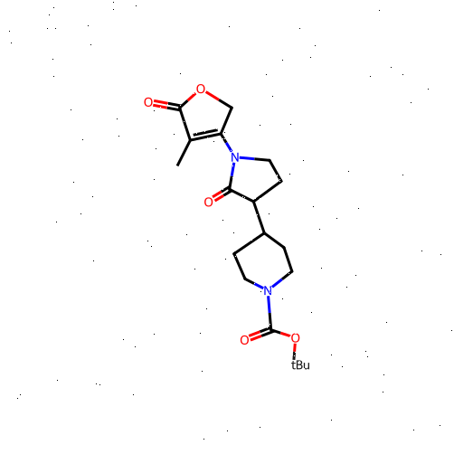 CC1=C(N2CCC(C3CCN(C(=O)OC(C)(C)C)CC3)C2=O)COC1=O